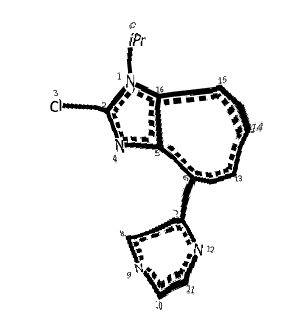 CC(C)n1c(Cl)nc2c(-c3cnccn3)cccc21